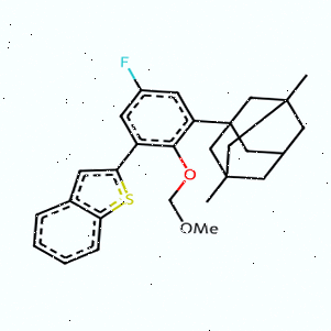 COCOc1c(-c2cc3ccccc3s2)cc(F)cc1C12CC3CC(C)(CC(C)(C3)C1)C2